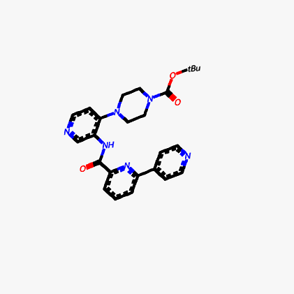 CC(C)(C)OC(=O)N1CCN(c2ccncc2NC(=O)c2cccc(-c3ccncc3)n2)CC1